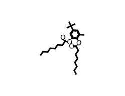 CCCCCCCC(=O)Oc1cc(C(C)(C)C)cc(C)c1OC(=O)CCCCCCC